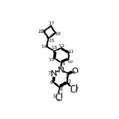 O=c1c(Cl)c(Cl)cnn1-c1cccc(CC2CCC2)c1